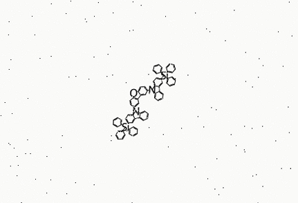 c1ccc([Si](c2ccccc2)(c2ccccc2)c2ccc3c(c2)c2ccccc2n3-c2ccc3oc4ccc(-n5c6ccccc6c6cc([Si](c7ccccc7)(c7ccccc7)c7ccccc7)ccc65)cc4c3c2)cc1